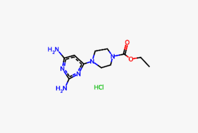 CCOC(=O)N1CCN(c2cc(N)nc(N)n2)CC1.Cl